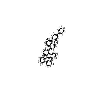 c1ccc(-c2ccc3c(c2)Oc2ccc(-c4cccc5c4-c4ccccc4C5(c4ccccc4)c4ccccc4)c4cccc-3c24)cc1